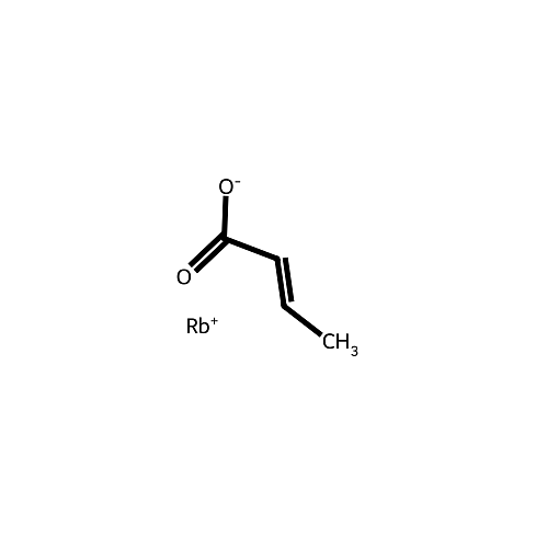 CC=CC(=O)[O-].[Rb+]